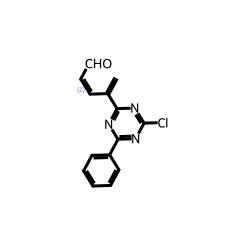 C=C(/C=C\C=O)c1nc(Cl)nc(-c2ccccc2)n1